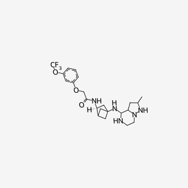 CC1CC2C(NC34CC(C3)[C@@H](NC(=O)COc3cccc(OC(F)(F)F)c3)C4)NCCN2N1